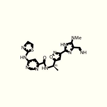 CNc1[nH]c(-c2cc([C@@H](C)NC(=O)c3cc(Nc4nccs4)ncn3)on2)nc1C=N